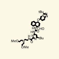 COCCN(CCNC(=O)c1nc(NC(=O)N[C@@]2(C=O)C=C[C@@H](Oc3ccc4nnc(C(C)(C)C)n4c3)c3ccccc32)cc(C(C)(C)C)n1)CCOC